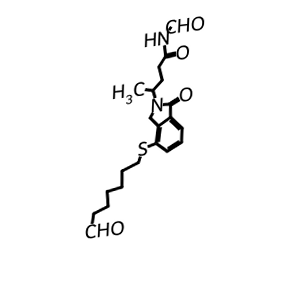 CC(CCC(=O)NC=O)N1Cc2c(SCCCCCCC=O)cccc2C1=O